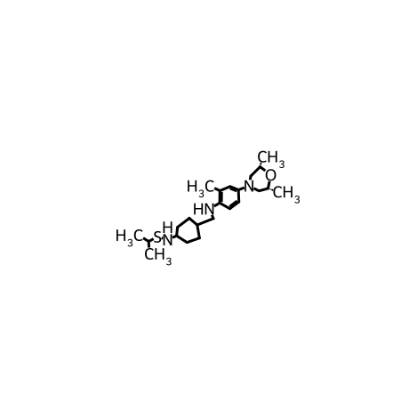 Cc1cc(N2C[C@@H](C)O[C@@H](C)C2)ccc1NCC1CCC(NSC(C)C)CC1